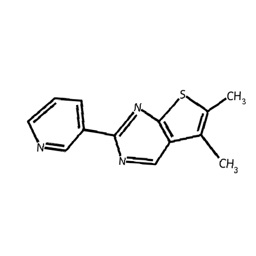 Cc1sc2nc(-c3cccnc3)ncc2c1C